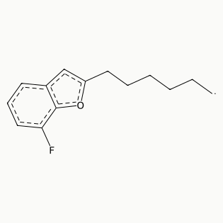 [CH2]CCCCCc1cc2cccc(F)c2o1